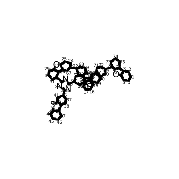 c1ccc2c(c1)oc1c(-c3ccc(-n4c5ccccc5c5cc(-c6ccc7oc8cccc(-c9nc(-c%10ccc%11c(c%10)sc%10ccccc%10%11)nc(-c%10ccc%11c(c%10)sc%10ccccc%10%11)n9)c8c7c6)ccc54)cc3)cccc12